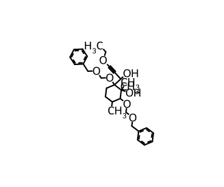 CCOC#CC(C)(O)C1(OCOCc2ccccc2)CCC(C)C(OCOCc2ccccc2)C1(C)O